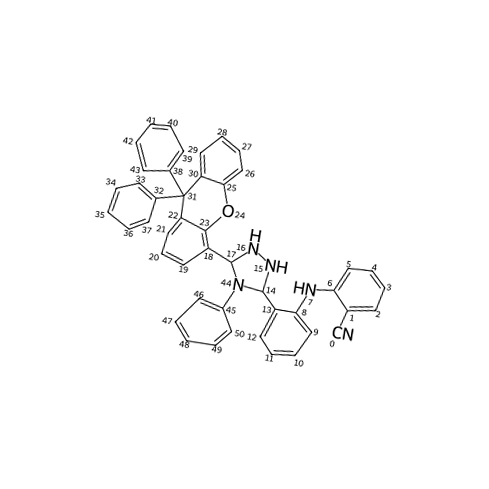 N#Cc1ccccc1Nc1ccccc1C1NNC(c2cccc3c2Oc2ccccc2C3(c2ccccc2)c2ccccc2)N1c1ccccc1